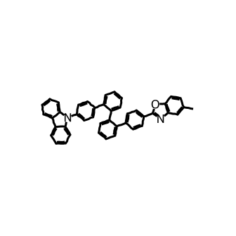 Cc1ccc2oc(-c3ccc(-c4ccccc4-c4ccccc4-c4ccc(-n5c6ccccc6c6ccccc65)cc4)cc3)nc2c1